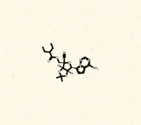 CCC(CC)C(=O)OC[C@@]1(C#N)O[C@@H](c2ccc3c(N)ncnn23)[C@@H]2OC(C)(C)O[C@@H]21